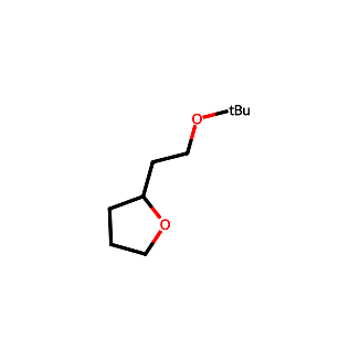 CC(C)(C)OCCC1CCCO1